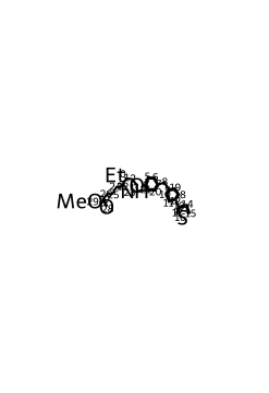 CC[C@@H](COc1ccc(Cc2ccc(-c3ccsc3)cc2)cc1)C(=N)CCCC(=O)OC